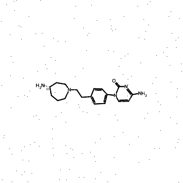 Nc1ccn(-c2ccc(CCN3CCC[C@H](N)CC3)cc2)c(=O)n1